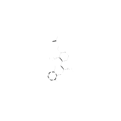 CC(=O)OCC1CCCC(/C=C(\N)Oc2c(F)cccc2F)=C1N